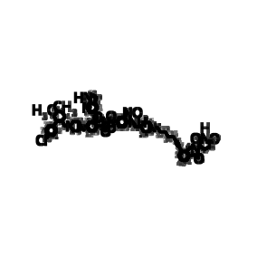 CC1(C)CCC(CN2CCN(c3ccc(C(=O)NS(=O)(=O)c4ccc(NCC5CCN(CCCCCC#Cc6cccc7c6CN(C6CCC(=O)NC6=O)C7=O)CC5)c([N+](=O)[O-])c4)c(Oc4cnc5[nH]ccc5c4)c3)CC2)=C(c2ccc(Cl)cc2)C1